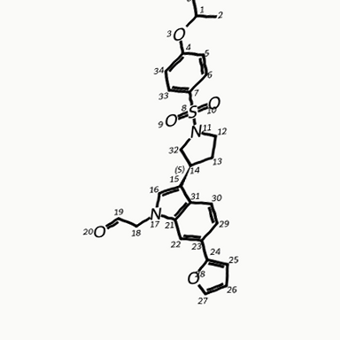 CC(C)Oc1ccc(S(=O)(=O)N2CC[C@@H](c3cn(CC=O)c4cc(-c5ccco5)ccc34)C2)cc1